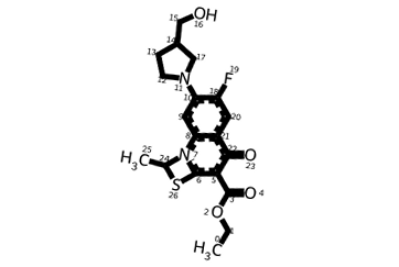 CCOC(=O)c1c2n(c3cc(N4CCC(CO)C4)c(F)cc3c1=O)C(C)S2